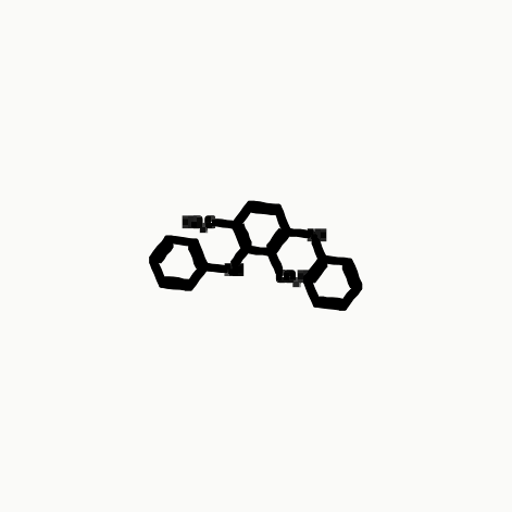 O=C(O)c1ccc(Nc2ccccc2)c(C(=O)O)c1Nc1ccccc1